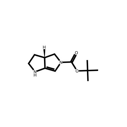 CC(C)(C)OC(=O)N1C=C2NCC[C@@H]2C1